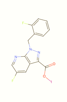 O=C(OI)c1nn(Cc2ccccc2F)c2ncc(F)cc12